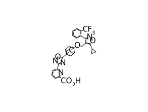 O=C(O)c1cccc(-c2noc(C34CCC(OCc5c(-c6ccccc6C(F)(F)F)noc5C5CC5)(CC3)CC4)n2)n1